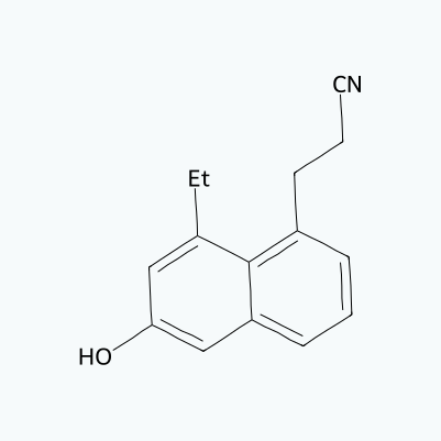 CCc1cc(O)cc2cccc(CCC#N)c12